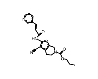 CCCOC(=O)N1CCc2c(sc(NC(=O)C=Cc3cccnc3)c2C#N)C1